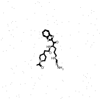 CC(=O)N1CCC(CC(=O)NC(CCCNC=NN)C(=O)c2nc3ccccc3s2)CC1